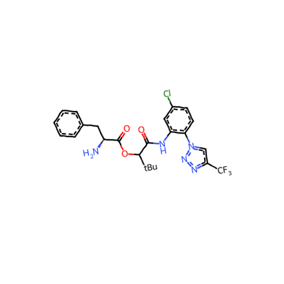 CC(C)(C)C(OC(=O)[C@@H](N)Cc1ccccc1)C(=O)Nc1cc(Cl)ccc1-n1cc(C(F)(F)F)nn1